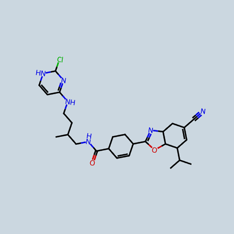 CC(CCNC1=NC(Cl)NC=C1)CNC(=O)C1C=CC(C2=NC3CC(C#N)=CC(C(C)C)C3O2)CC1